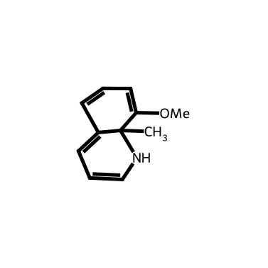 COC1=CC=CC2=CC=CNC21C